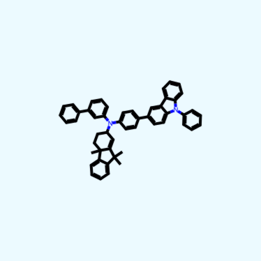 CC1(C)C2=CC(N(c3ccc(-c4ccc5c(c4)c4ccccc4n5-c4ccccc4)cc3)c3cccc(-c4ccccc4)c3)CCC2(C)c2ccccc21